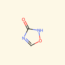 O=c1n[c]o[nH]1